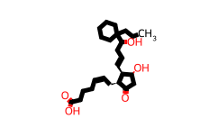 CCCC1(C(O)C/C=C/[C@H]2[C@H](O)CC(=O)[C@@H]2C/C=C\CCCC(=O)O)CCCCC1